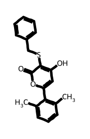 Cc1cccc(C)c1-c1cc(O)c(SCc2ccccc2)c(=O)o1